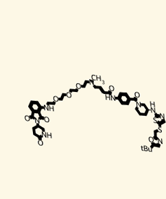 CN(C/C=C/C(=O)Nc1ccc(C(=O)N2CCC[C@@H](Nc3ncc(SCc4ncc(C(C)(C)C)o4)s3)C2)cc1)CCOCCOCCOCCNc1cccc2c1C(=O)N(C1CCC(=O)NC1)C2=O